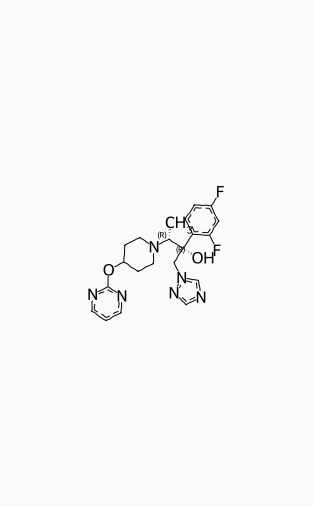 C[C@@H](N1CCC(Oc2ncccn2)CC1)[C@](O)(Cn1cncn1)c1ccc(F)cc1F